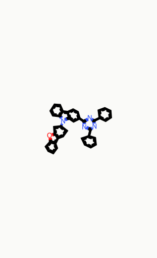 c1ccc(-c2nc(-c3ccccc3)nc(-c3ccc4c5ccccc5n(-c5ccc6c(c5)oc5ccccc56)c4c3)n2)cc1